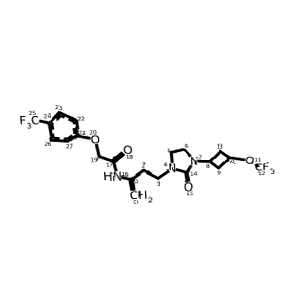 C=C(CCN1CCN(C2CC(OC(F)(F)F)C2)C1=O)NC(=O)COc1ccc(C(F)(F)F)cc1